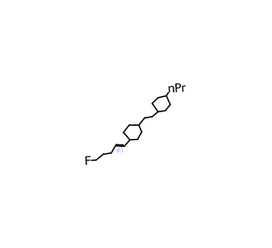 CCCC1CCC(CCC2CCC(/C=C/CCCF)CC2)CC1